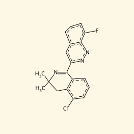 CC1(C)Cc2c(Cl)cccc2C(c2cc3cccc(F)c3nn2)=N1